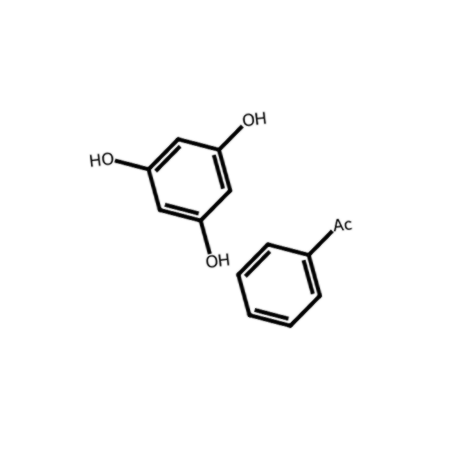 CC(=O)c1ccccc1.Oc1cc(O)cc(O)c1